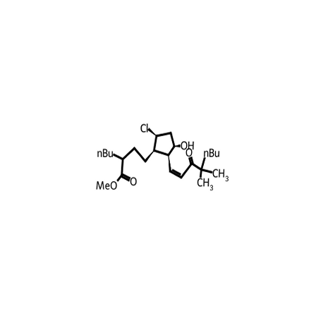 CCCCC(CC[C@@H]1[C@H](/C=C\C(=O)C(C)(C)CCCC)[C@H](O)C[C@@H]1Cl)C(=O)OC